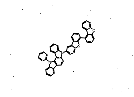 c1ccc(-n2c3ccccc3c3ccc4c(c5ccccc5n4-c4ccc5sc6c(-c7cccc8oc9ccccc9c78)cccc6c5c4)c32)cc1